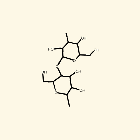 CC1OC(CO)C(OC2OC(CO)C(O)C(C)C2O)C(O)C1O